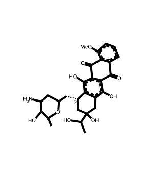 COc1cccc2c1C(=O)c1c(O)c3c(c(O)c1C2=O)CC(O)(C(C)O)C[C@@H]3CC1CC(N)C(O)C(C)O1